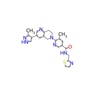 Cc1cc(C(=O)NCc2nccs2)cnc1N1CCc2ncc(-c3c[nH]nc3C)cc2C1